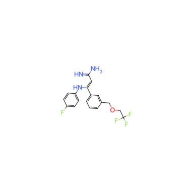 N=C(N)/C=C(\Nc1ccc(F)cc1)c1cccc(COCC(F)(F)F)c1